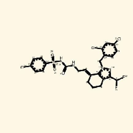 O=C(NC/C=C1\CCCc2c(C(F)F)nn(Cc3ccc(Cl)cc3Cl)c21)NS(=O)(=O)c1ccc(Cl)cc1